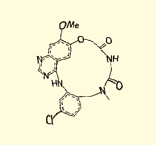 COc1cc2ncnc3c2cc1OCC(=O)NCC(=O)N(C)Cc1ccc(Cl)cc1N3